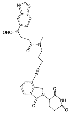 CN(CCCC#Cc1cccc2c1CN(C1CCC(=O)NC1=O)C2=O)C(=O)CCN(C=O)c1ccc2scnc2c1